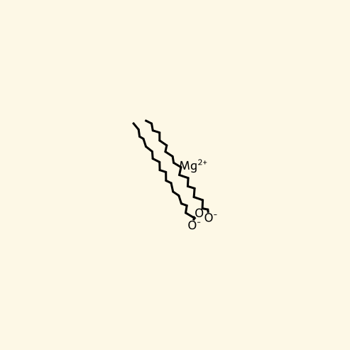 CCCCCCCCCCCCCCCCCC(=O)[O-].CCCCCCCCCCCCCCCCCC[O-].[Mg+2]